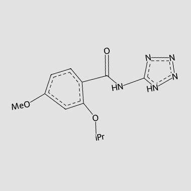 COc1ccc(C(=O)Nc2nnn[nH]2)c(OC(C)C)c1